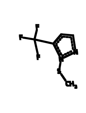 CSn1nccc1C(F)(F)F